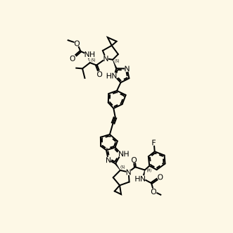 COC(=O)N[C@H](C(=O)N1CC2(CC2)C[C@H]1c1ncc(-c2ccc(C#Cc3ccc4nc([C@@H]5CC6(CC6)CN5C(=O)[C@H](NC(=O)OC)c5cccc(F)c5)[nH]c4c3)cc2)[nH]1)C(C)C